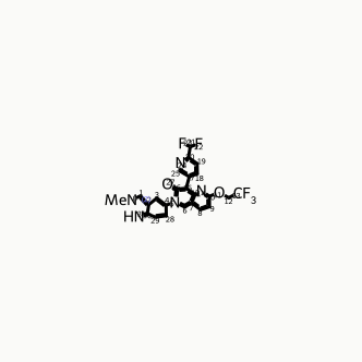 CN/C=C1/C=C(n2cc3ccc(OCC(F)(F)F)nc3c(-c3ccc(C(F)F)nc3)c2=O)C=CC1=N